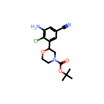 CC(C)(C)OC(=O)N1CCOC(c2cc(C#N)cc(N)c2Cl)C1